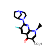 O=C(O)c1cn(C2CC2)c2nc(N3CCN4CCC3C4)c(F)cc2c1=O